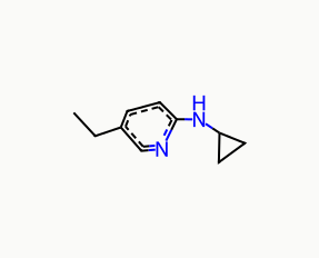 CCc1ccc(NC2CC2)nc1